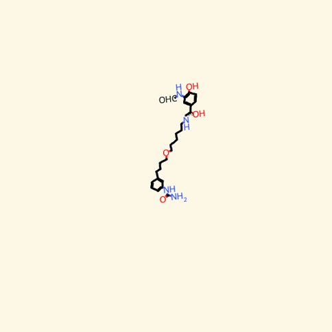 NC(=O)Nc1cccc(CCCCOCCCCCCNC[C@H](O)c2ccc(O)c(NC=O)c2)c1